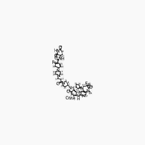 COc1cc(C(=O)NC2CCN(C(=O)CCN3CCN(c4ccc(C(=O)NC5CCC(=O)NC5=O)c(F)c4)CC3)CC2)ccc1Nc1ncc2c(n1)N(C1CCCC1)CC(F)(F)C(=O)N2C